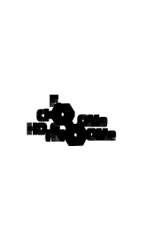 COc1ccc(NC(=O)O)c(-c2ccc(F)c(Cl)c2)c1OC